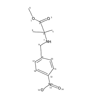 COC(=O)C(C)(C)NCc1ccc([N+](=O)[O-])cc1